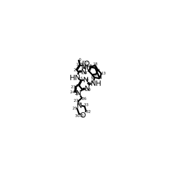 Cc1cc(Nc2nc(NC3C4CC5CC3CC(O)(C5)C4)nc3c2ccn3CCN2CCOCC2)n[nH]1